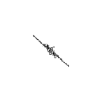 CCCCCCCCCCCCCCC=CC(CC(=O)Oc1c2ccccc2c(OC(=O)CC(C=CCCCCCCCCCCCCCC)C(=O)O)c2cc(CC)ccc12)C(=O)O